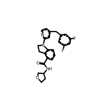 O=C(NC1CCOC1)c1cccc2c1CCN2c1cc(Cc2cc(F)cc(F)c2)ccn1